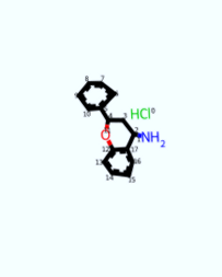 Cl.NC1CC(c2ccccc2)Oc2ccccc21